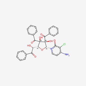 Nc1ccn([C@@H]2O[C@H](C(O)C(=O)c3ccccc3)[C@](O)(C(=O)c3ccccc3)[C@]2(O)C(=O)c2ccccc2)c(=O)c1Cl